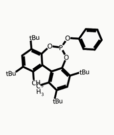 Cc1c(C(C)(C)C)cc(C(C)(C)C)c2op(Oc3ccccc3)oc3c(C(C)(C)C)cc(C(C)(C)C)c(C)c3c12